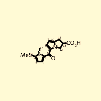 CSc1ccc(C(=O)c2ccc3n2CC(C(=O)O)C3)n1C